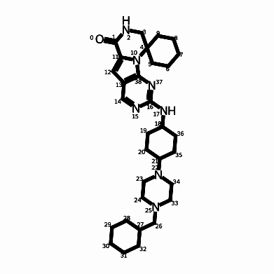 O=C1NCC2(CCCCC2)n2c1cc1cnc(NC3CCC(N4CCN(CC5CCCCC5)CC4)CC3)nc12